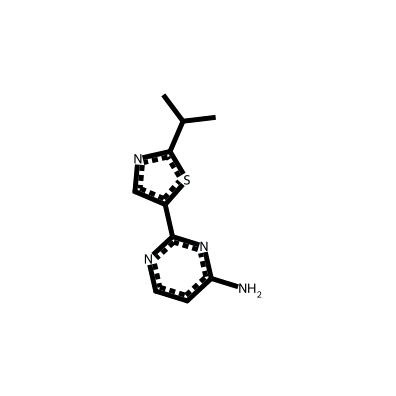 CC(C)c1ncc(-c2nccc(N)n2)s1